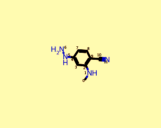 CNc1cc(NN)ccc1C#N